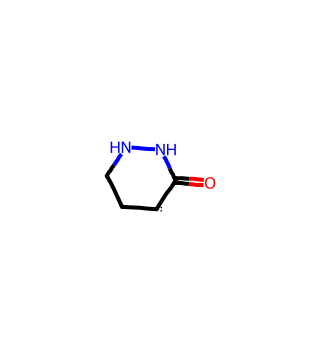 O=C1[C]CCNN1